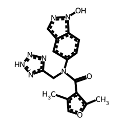 Cc1coc(C)c1C(=O)N(Cc1nn[nH]n1)c1ccc2c(cnn2O)c1